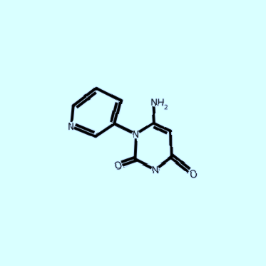 NC1=CC(=O)[N]C(=O)N1c1cccnc1